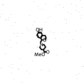 COC(=O)C1CCN(CC2OCCc3cc(O)ccc32)CC1